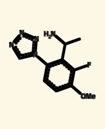 COc1ccc(-n2cnnn2)c(C(C)N)c1F